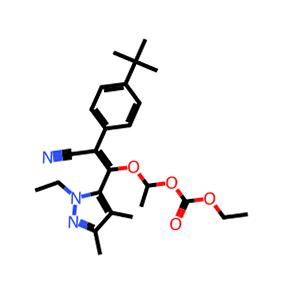 CCOC(=O)OC(C)O/C(=C(/C#N)c1ccc(C(C)(C)C)cc1)c1c(C)c(C)nn1CC